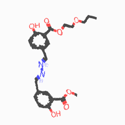 CCCOCCOC(=O)c1cc(/C=N/N=C/c2ccc(O)c(C(=O)OC)c2)ccc1O